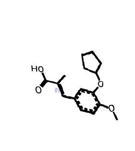 COc1ccc(/C=C(\C)C(=O)O)cc1OC1CCCC1